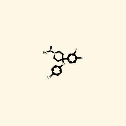 CB(O)N1CCC(Oc2ccc(N)cc2)(c2ccc(Cl)c(F)c2)CC1